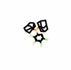 Fc1c(F)c(F)c(P(C23CC4CC(CC(C4)C2)C3)C23CC4CC(CC(C4)C2)C3)c(F)c1F